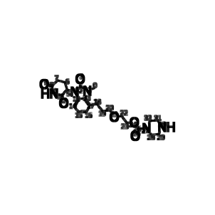 Cn1c(=O)n(C2CCC(=O)NC2=O)c2cccc(CCCOCCOC(=O)N3CCNCC3)c21